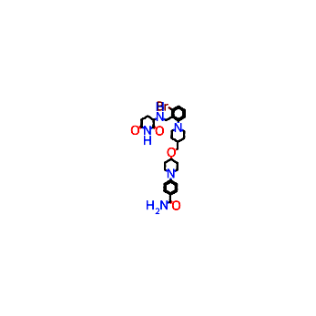 NC(=O)c1ccc(N2CCC(OCC3CCN(c4cccc(Br)c4CNC4CCC(=O)NC4=O)CC3)CC2)cc1